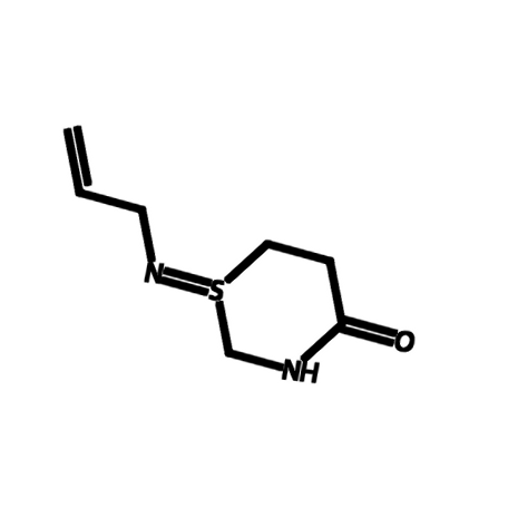 C=CCN=S1CCC(=O)NC1